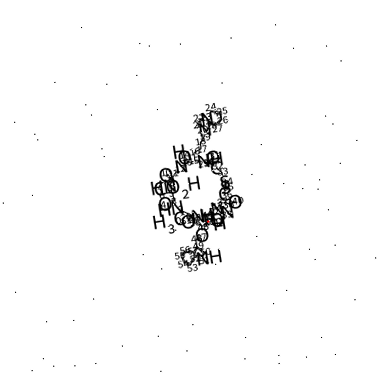 C[C@@H]1NC(=O)C(CC(=O)O)NC(=O)CNC(=O)C(CCCCn2cc[n+]3ccccc23)NC(=O)CCSSC[C@@H](C(N)=O)NC(=O)[C@@H]2CC(OCc3c[nH]c4ccccc34)CN2C1=O